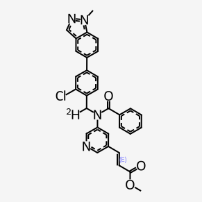 [2H]C(c1ccc(-c2ccc3c(cnn3C)c2)cc1Cl)N(C(=O)c1ccccc1)c1cncc(/C=C/C(=O)OC)c1